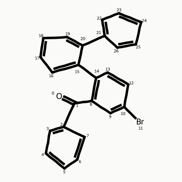 O=C(c1ccccc1)c1cc(Br)ccc1-c1ccccc1-c1ccccc1